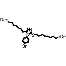 CCCCCCCCCCCCCCCCCCSc1nnc(CCCCCCCCCCCCCCCCC)n1-c1ccc(Br)cc1